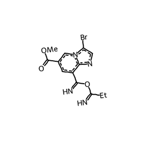 CCC(=N)OC(=N)c1cc(C(=O)OC)cn2c(Br)cnc12